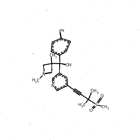 CC(C)c1ccc(C(O)(c2cncc(C#CC(C)(C)S(C)(=O)=O)c2)C2(C)CN(C)C2)cc1